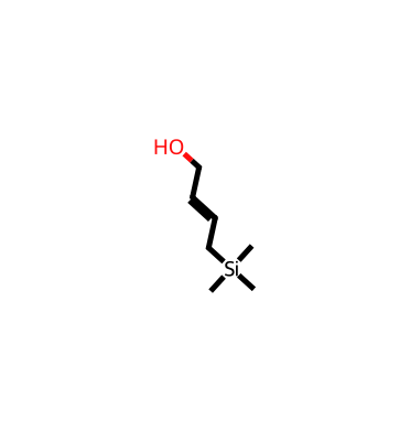 C[Si](C)(C)CC=CCO